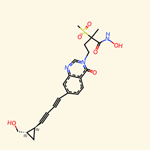 CC(CCn1cnc2cc(C#CC#C[C@H]3C[C@@H]3CO)ccc2c1=O)(C(=O)NO)S(C)(=O)=O